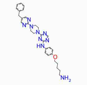 NCCCCCOc1ccc(Nc2ncnc(N3CCN(c4ncc(Cc5ccccc5)cn4)CC3)n2)cc1